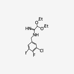 CCOC(OCC)C(=N)NCc1cc(Cl)c(F)c(I)c1